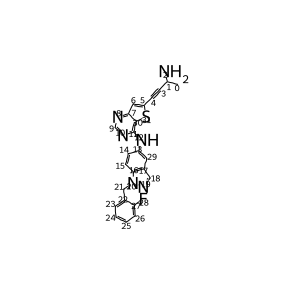 CC(N)C#Cc1cc2ncnc(Nc3ccc4c(cnn4Cc4ccccc4F)c3)c2s1